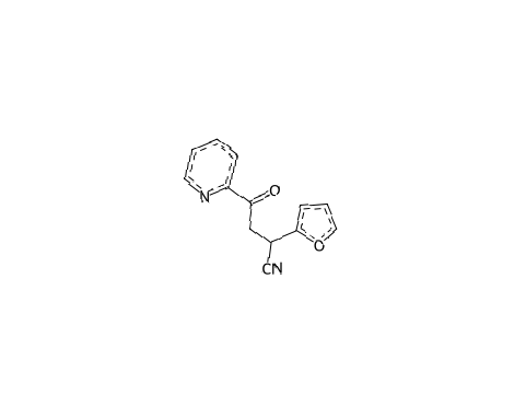 N#CC(CC(=O)c1ccccn1)c1ccco1